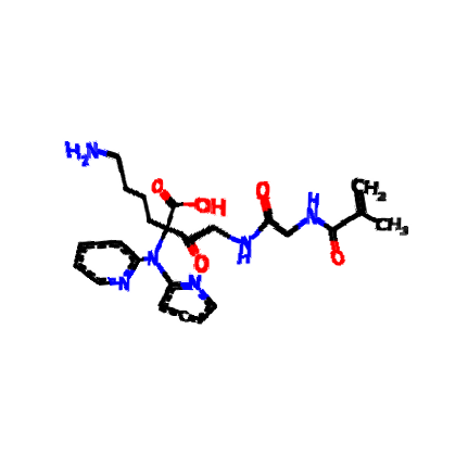 C=C(C)C(=O)NCC(=O)NCC(=O)C(CCCCN)(C(=O)O)N(c1ccccn1)c1ccccn1